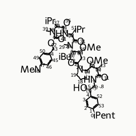 CCCC(C)c1ccc([C@H](O)[C@@H](C)NC(=O)[C@H](C)[C@@H](OC)[C@@H]2CCCN2C(=O)C[C@@H](OC)[C@H]([C@@H](C)CC)N(C)C(=O)[C@@H](NC(=O)[C@H](C(C)C)N(C)C(=O)OCc2ccc(NC)cc2)C(C)C)cc1